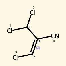 N#C/C(=C/Cl)C(Cl)Cl